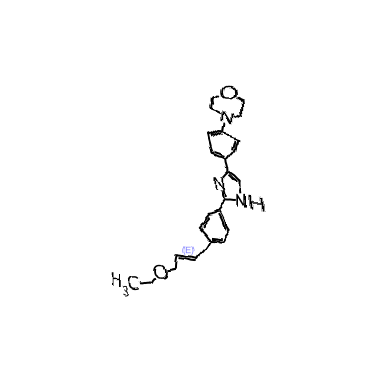 CCOC/C=C/c1ccc(-c2nc(-c3ccc(N4CCOCC4)cc3)c[nH]2)cc1